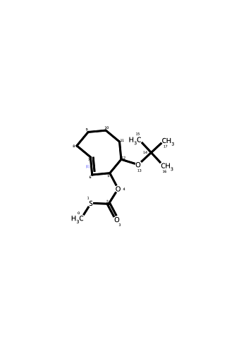 CSC(=O)OC1/C=C/CCCCC1OC(C)(C)C